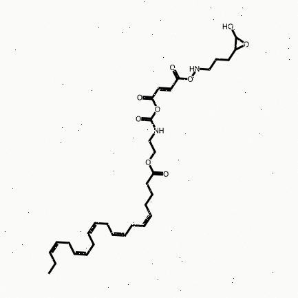 CC/C=C\C/C=C\C/C=C\C/C=C\C/C=C\CCCC(=O)OCCNC(=O)OC(=O)/C=C/C(=O)ONCCCC1OC1O